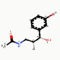 C[C@H](CNC(=O)C(F)(F)F)[C@@H](O)c1cccc(Br)c1